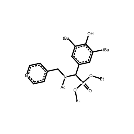 CCOP(=O)(OCC)C(c1cc(C(C)(C)C)c(O)c(C(C)(C)C)c1)N(Cc1ccncc1)C(C)=O